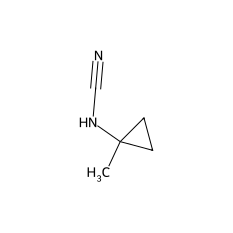 CC1(NC#N)CC1